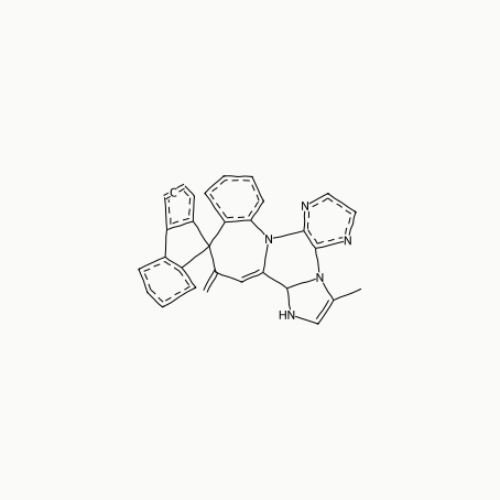 C=C1C=C2C3NC=C(C)N3c3nccnc3N2c2ccccc2C12c1ccccc1-c1ccccc12